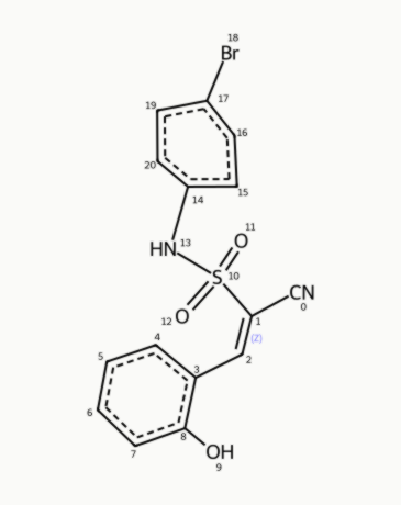 N#C/C(=C/c1ccccc1O)S(=O)(=O)Nc1ccc(Br)cc1